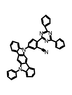 N#Cc1cc(-n2c3ccccc3c3cc4c(cc32)c2ccccc2n4-c2ccccc2)ccc1-c1nc(-c2ccccc2)nc(-c2ccccc2)n1